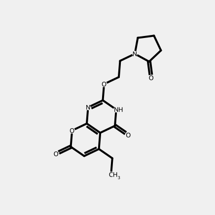 CCc1cc(=O)oc2nc(OCCN3CCCC3=O)[nH]c(=O)c12